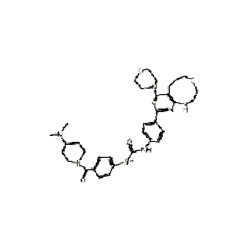 CN(C)C1CCN(C(=O)c2ccc(NC(=O)Nc3ccc(-c4nc5c(c(N6CCOCC6)n4)CCCOCCN5)cc3)cc2)CC1